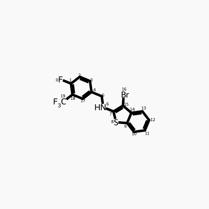 Fc1ccc(CNc2sc3ccccc3c2Br)cc1C(F)(F)F